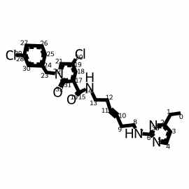 CCc1ccnc(NCCC#CCCNC(=O)c2cc(Cl)cn(Cc3cccc(Cl)c3)c2=O)n1